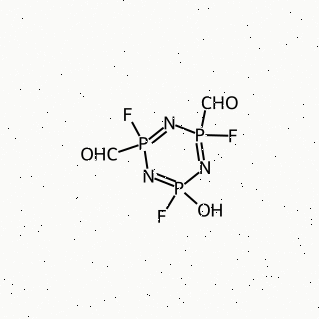 O=CP1(F)=NP(O)(F)=NP(F)(C=O)=N1